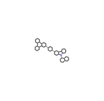 c1ccc2c(-n3c4ccccc4c4cc(-c5ccc(-c6ccc7c8ccccc8c8ccccc8c7c6)cc5)ccc43)cccc2c1